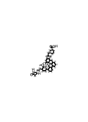 COc1nc(-c2cccc(-c3cccc(Cc4cc(Cl)cc5sc(CN6CCC[C@H](C(=O)O)C6)nc45)c3Cl)c2Cl)ccc1CNC[C@@H]1CCC(=O)N1